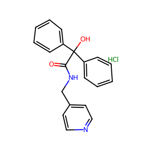 Cl.O=C(NCc1ccncc1)C(O)(c1ccccc1)c1ccccc1